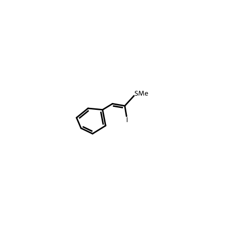 CSC(I)=Cc1ccccc1